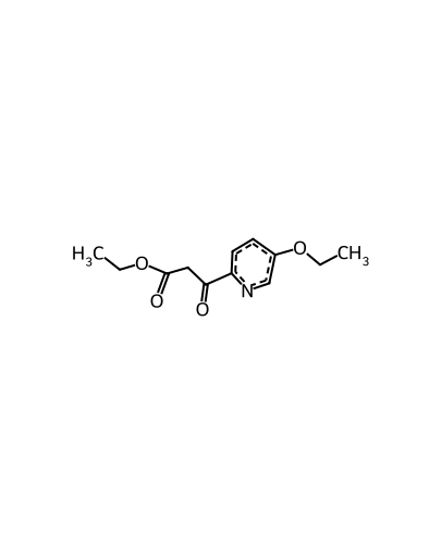 CCOC(=O)CC(=O)c1ccc(OCC)cn1